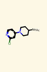 CC(=O)NC1CCN(c2ccnc(Cl)c2)CC1